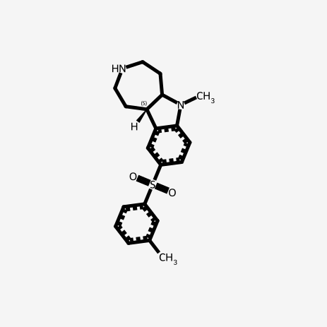 Cc1cccc(S(=O)(=O)c2ccc3c(c2)[C@@H]2CCNCCC2N3C)c1